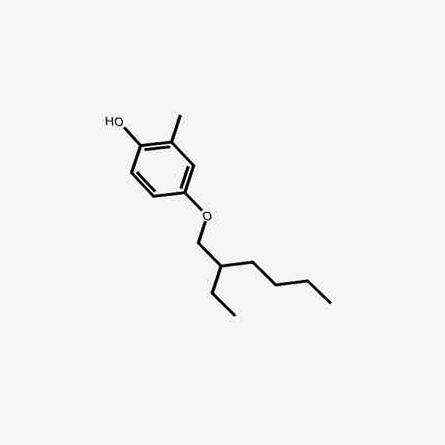 CCCCC(CC)COc1ccc(O)c(C)c1